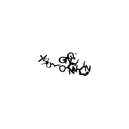 Cc1ncccc1-n1nc(OCCCO[Si](C)(C)C(C)(C)C)c([N+](=O)[O-])c1C